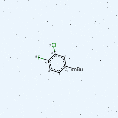 CCCCc1ccc(F)c(Cl)c1